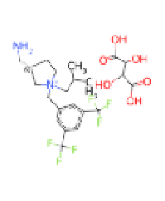 CC(C)C[N+]1(Cc2cc(C(F)(F)F)cc(C(F)(F)F)c2)CC[C@@H](CN)C1.O=C(O)C(O)C(O)C(=O)O